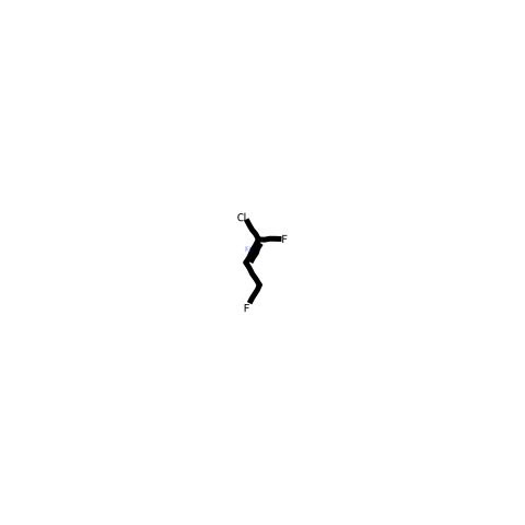 FC/C=C(\F)Cl